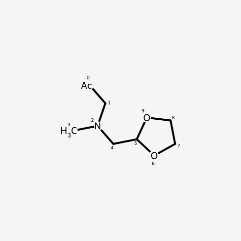 CC(=O)CN(C)CC1OCCO1